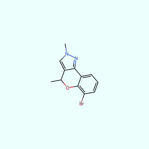 CC1Oc2c(Br)cccc2-c2nn(C)cc21